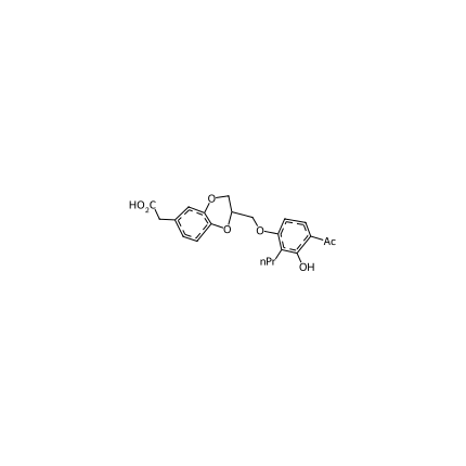 CCCc1c(OCC2COc3cc(CC(=O)O)ccc3O2)ccc(C(C)=O)c1O